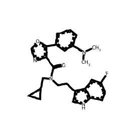 CN(C)c1cccc(-c2ocnc2C(=O)N(CCc2c[nH]c3ccc(F)cc23)CC2CC2)c1